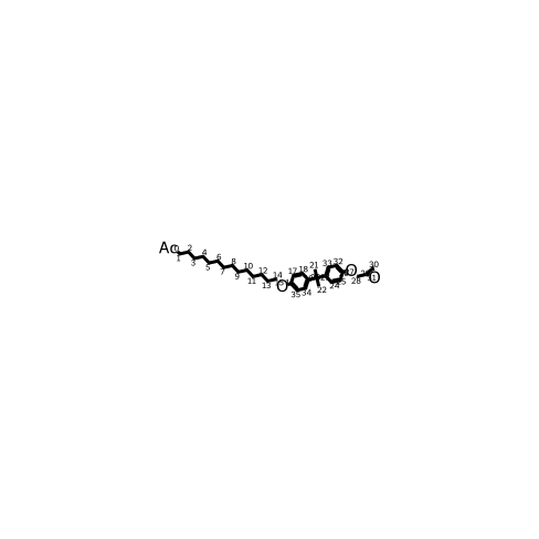 CC(=O)CCCCCCCCCCCCCCOc1ccc(C(C)(C)c2ccc(OCC3CO3)cc2)cc1